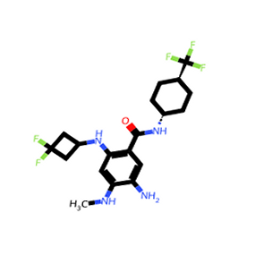 CNc1cc(NC2CC(F)(F)C2)c(C(=O)N[C@H]2CC[C@H](C(F)(F)F)CC2)cc1N